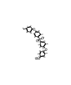 Cc1ccc(Oc2ccc(S(=O)(=O)c3ccc(Oc4ccc(C(C)(C)C)cc4)cc3)cc2)cc1